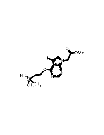 COC(=O)Cn1cc(I)c2c(OCC[Si](C)(C)C)ncnc21